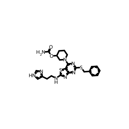 NC(=O)OC1CCCN(c2nc(SCc3ccccc3)nc3nc(NCCc4c[nH]cn4)sc23)C1